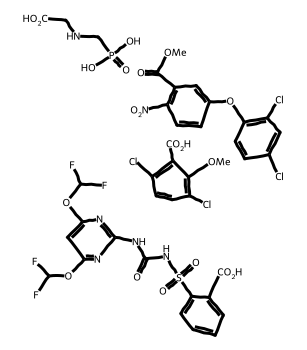 COC(=O)c1cc(Oc2ccc(Cl)cc2Cl)ccc1[N+](=O)[O-].COc1c(Cl)ccc(Cl)c1C(=O)O.O=C(Nc1nc(OC(F)F)cc(OC(F)F)n1)NS(=O)(=O)c1ccccc1C(=O)O.O=C(O)CNCP(=O)(O)O